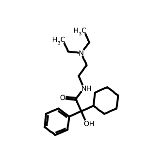 CCN(CC)CCNC(=O)C(O)(c1ccccc1)C1CCCCC1